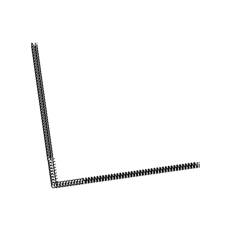 [Cr].[Cr].[Cr].[Cr].[Cr].[Cr].[Cr].[Cr].[Cr].[Cr].[Cr].[Cr].[Cr].[Cr].[Cr].[Cr].[Cr].[Cr].[Cr].[Cr].[Ni].[Ni].[Ni].[Ni].[Ni].[Ni].[Ni].[Ni].[Ni].[Ni].[Ni].[Ni].[Ni].[Ni].[Ni].[Ni].[Ni].[Ni].[Ni].[Ni].[Ni].[Ni].[Ni].[Ni].[Ni].[Ni].[Ni].[Ni].[Ni].[Ni].[Ni].[Ni].[Ni].[Ni].[Ni].[Ni].[Ni].[Ni].[Ni].[Ni].[Ni].[Ni].[Ni].[Ni].[Ni].[Ni].[Ni].[Ni].[Ni].[Ni].[Ni].[Ni].[Ni].[Ni].[Ni].[Ni].[Ni].[Ni].[Ni].[Ni].[Ni].[Ni].[Ni].[Ni].[Ni].[Ni].[Ni].[Ni].[Ni].[Ni].[Ni].[Ni].[Ni].[Ni].[Ni].[Ni].[Ni].[Ni].[Ni].[Ni]